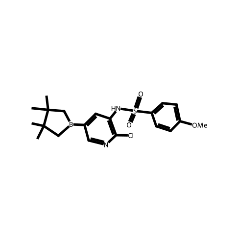 COc1ccc(S(=O)(=O)Nc2cc(B3CC(C)(C)C(C)(C)C3)cnc2Cl)cc1